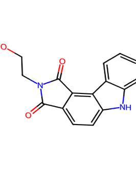 O=C1c2ccc3[nH]c4ccccc4c3c2C(=O)N1CCO